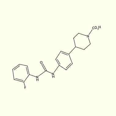 O=C(Nc1ccc(C2CCN(C(=O)O)CC2)cc1)Nc1ccccc1F